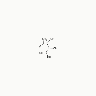 CCOO.OCC(O)CO